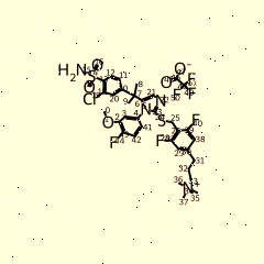 COc1cc(-n2c(C(C)(C)c3ccc(S(N)(=O)=O)c(Cl)c3)cnc2SCc2c(F)cc(CCC[N+](C)(C)C)cc2F)ccc1F.O=C([O-])C(F)(F)F